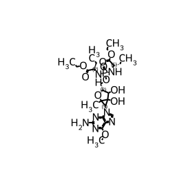 CCOC(=O)[C@H](CC)NP(=O)(N[C@H](CC)C(=O)OCC)OC[C@H]1OC2(C)[C@@H](n3cnc4c(OC)nc(N)nc43)C2(O)C1O